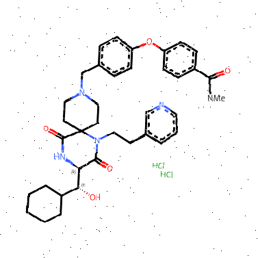 CNC(=O)c1ccc(Oc2ccc(CN3CCC4(CC3)C(=O)N[C@H]([C@H](O)C3CCCCC3)C(=O)N4CCc3cccnc3)cc2)cc1.Cl.Cl